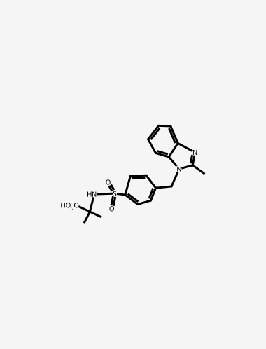 Cc1nc2ccccc2n1Cc1ccc(S(=O)(=O)NC(C)(C)C(=O)O)cc1